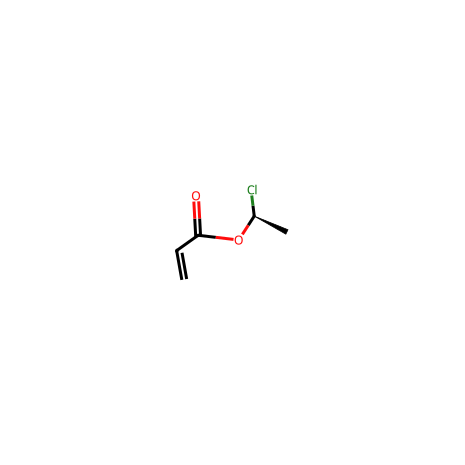 C=CC(=O)O[C@H](C)Cl